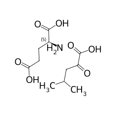 CC(C)CC(=O)C(=O)O.N[C@@H](CCC(=O)O)C(=O)O